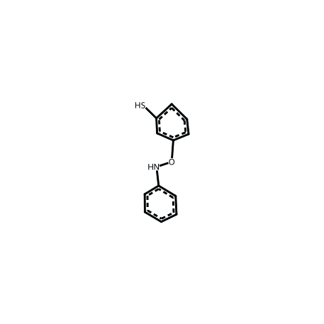 Sc1cccc(ONc2ccccc2)c1